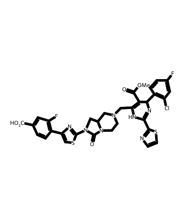 COC(=O)C1=C(CN2CCN3C(=O)N(c4nc(-c5ccc(C(=O)O)cc5F)cs4)CC3C2)NC(c2nccs2)=NC1c1ccc(F)cc1Cl